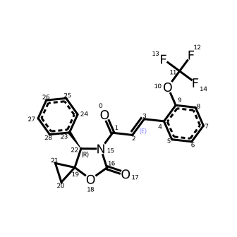 O=C(/C=C/c1ccccc1OC(F)(F)F)N1C(=O)OC2(CC2)[C@H]1c1ccccc1